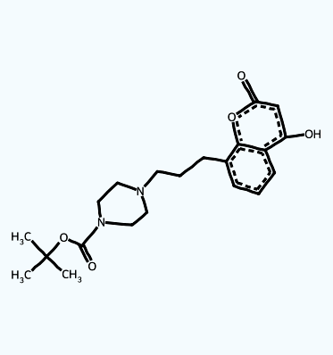 CC(C)(C)OC(=O)N1CCN(CCCc2cccc3c(O)cc(=O)oc23)CC1